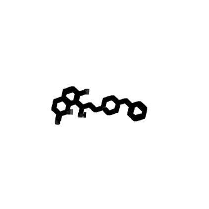 O=C1CCc2ccc(Cl)c(C(O)CCN3CCC(Cc4ccccc4)CC3)c2N1